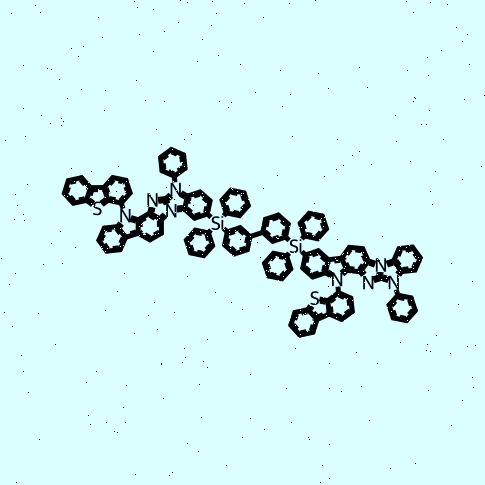 c1ccc(-n2c3ccccc3n3c4ccc5c6cc([Si](c7ccccc7)(c7ccccc7)c7cccc(-c8cccc([Si](c9ccccc9)(c9ccccc9)c9ccc%10c(c9)n9c%11ccc%12c%13ccccc%13n(-c%13cccc%14c%13sc%13ccccc%13%14)c%12c%11nc9n%10-c9ccccc9)c8)c7)ccc6n(-c6cccc7c6sc6ccccc67)c5c4nc23)cc1